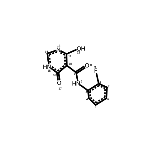 O=C(Nc1ccccc1F)c1c(O)nc[nH]c1=O